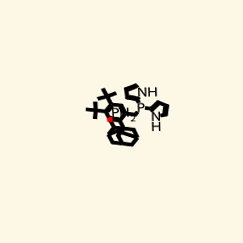 CC(C)(C)c1cc(CP(c2ccc[nH]2)c2ccc[nH]2)c(C23CC4CC(CC(C4)C2CP)C3)cc1C(C)(C)C